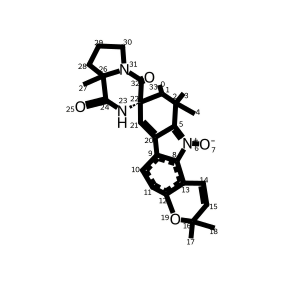 CC1C(C)(C)C2=[N+]([O-])c3c(ccc4c3C=CC(C)(C)O4)C2=C[C@]12NC(=O)C1(C)CCCN1C2=O